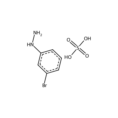 NNc1cccc(Br)c1.O=S(=O)(O)O